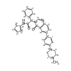 CN1CCN(c2ccc(-c3ccc4ncn(C(C(=O)Nc5nccs5)c5ccccc5)c(=O)c4c3)cc2)CC1